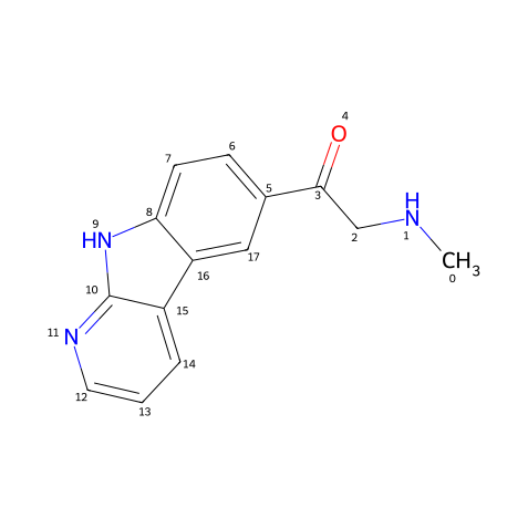 CNCC(=O)c1ccc2[nH]c3ncccc3c2c1